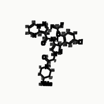 CNC1CCN(C(=O)Cn2cc(NC(=O)c3cnn4cccnc34)c(-c3cc(Cl)ccc3OC(F)F)n2)CC1